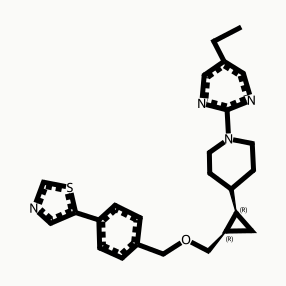 CCc1cnc(N2CCC([C@H]3C[C@H]3COCc3ccc(-c4cncs4)cc3)CC2)nc1